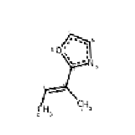 C/C=C(\C)c1ncco1